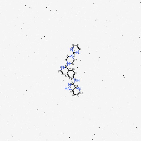 c1cnc(N2CCN(c3nccc4cc(Nc5n[nH]c6cccnc56)ccc34)CC2)nc1